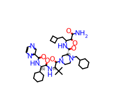 CC(C)(C)[C@H](NC(=O)[C@@H](NC(=O)c1cnccn1)C1CCCCC1)C(=O)N1CCN(CC2CCCCC2)[C@@H](C(=O)NC(CC2CCC2)C(=O)C(N)=O)C1